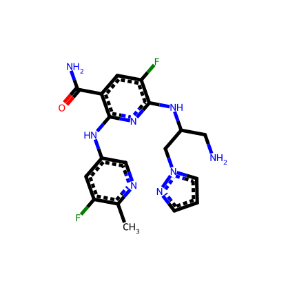 Cc1ncc(Nc2nc(NC(CN)Cn3cccn3)c(F)cc2C(N)=O)cc1F